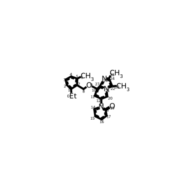 CCc1cccc(C)c1COc1cc(-n2ccccc2=O)cn2c(C)c(C)nc12